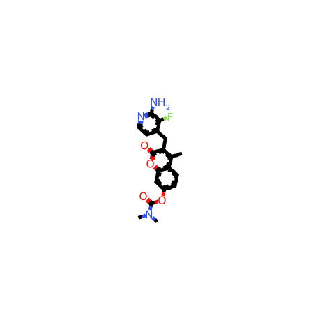 Cc1c(Cc2ccnc(N)c2F)c(=O)oc2cc(OC(=O)N(C)C)ccc12